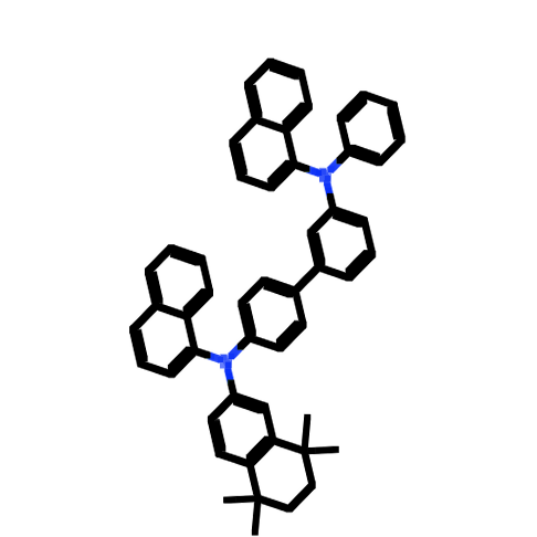 CC1(C)CCC(C)(C)c2cc(N(c3ccc(-c4cccc(N(c5ccccc5)c5cccc6ccccc56)c4)cc3)c3cccc4ccccc34)ccc21